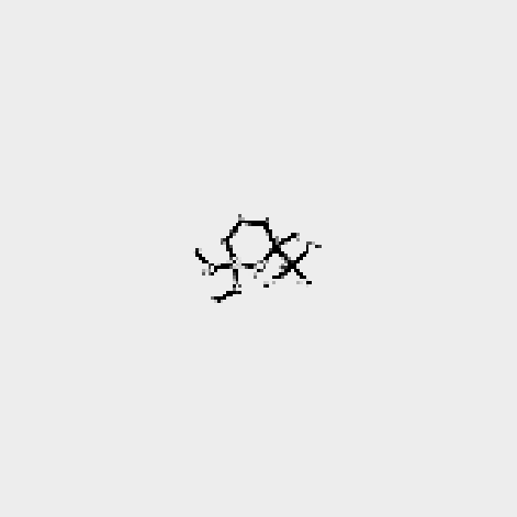 CO[Si]1(OC)CCCC(C)(C(F)(F)F)O1